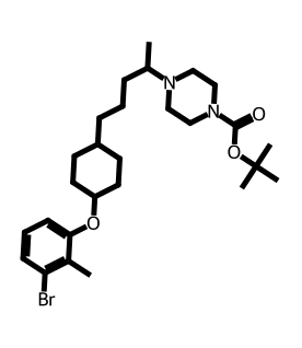 Cc1c(Br)cccc1OC1CCC(CCCC(C)N2CCN(C(=O)OC(C)(C)C)CC2)CC1